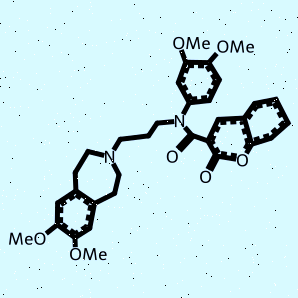 COc1ccc(N(CCCN2CCc3cc(OC)c(OC)cc3CC2)C(=O)c2cc3ccccc3oc2=O)cc1OC